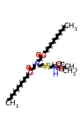 CCCCCCCCCCCCCCOC(=O)CCN(CCSSCCNC(=O)OC(C)(C)C)CCC(=O)OCCCCCCCCCCCCCC